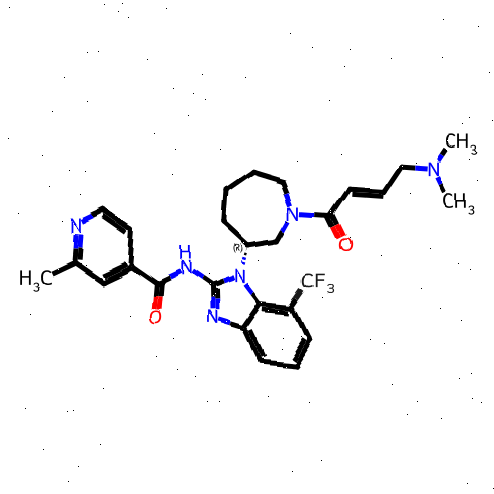 Cc1cc(C(=O)Nc2nc3cccc(C(F)(F)F)c3n2[C@@H]2CCCCN(C(=O)C=CCN(C)C)C2)ccn1